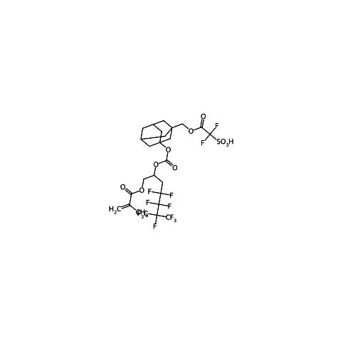 C=C(C)C(=O)OCC(CC(F)(F)C(F)(F)C(F)(C(F)(F)F)C(F)(F)F)OC(=O)OC12CC3CC(CC(COC(=O)C(F)(F)S(=O)(=O)O)(C3)C1)C2